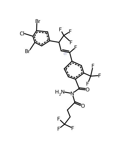 NN(C(=O)CCC(F)(F)F)C(=O)c1ccc(/C(F)=C/C(c2cc(Br)c(Cl)c(Br)c2)C(F)(F)F)cc1C(F)(F)F